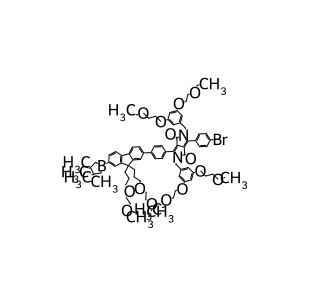 CCOCCOc1cc(CN2C(=O)C3=C(c4ccc(Br)cc4)N(Cc4cc(OCCOCC)cc(OCCOCC)c4)C(=O)C3=C2c2ccc(-c3ccc4c(c3)C(CCCOCCOC)(CCCOCCOC)c3cc(B5CC(C)(C)C(C)(C)C5)ccc3-4)cc2)cc(OCCOC)c1